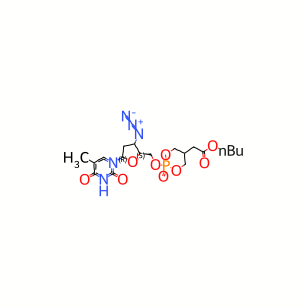 CCCCOC(=O)CC1COP(=O)(OC[C@H]2O[C@@H](n3cc(C)c(=O)[nH]c3=O)CC2N=[N+]=[N-])OC1